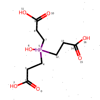 O=C(O)CC[PH](O)(CCC(=O)O)CCC(=O)O